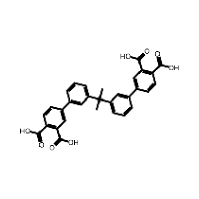 CC(C)(c1cccc(-c2ccc(C(=O)O)c(C(=O)O)c2)c1)c1cccc(-c2ccc(C(=O)O)c(C(=O)O)c2)c1